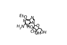 CCOc1nc(N)nc2c1ncn2C1OC(CO)C(O)C1(C)O